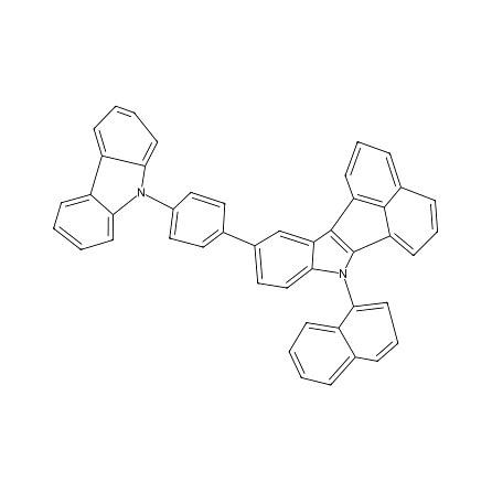 c1ccc2c(-n3c4c(c5cc(-c6ccc(-n7c8ccccc8c8ccccc87)cc6)ccc53)-c3cccc5cccc-4c35)cccc2c1